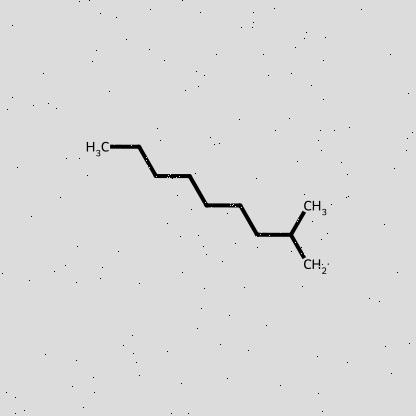 [CH2]C(C)CCCCCCC